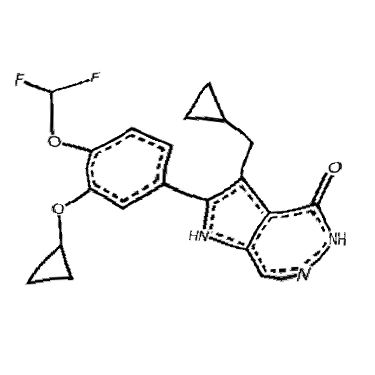 O=c1[nH]ncc2[nH]c(-c3ccc(OC(F)F)c(OC4CC4)c3)c(CC3CC3)c12